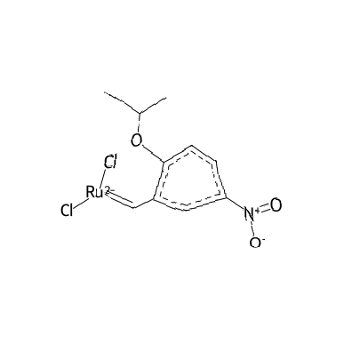 CC(C)Oc1ccc([N+](=O)[O-])cc1[CH]=[Ru-2]([Cl])[Cl]